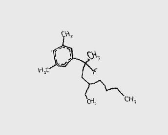 CCCCC(CC)CC(C)(F)c1cc(C)[c]c(C)c1